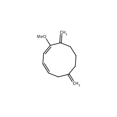 C=C1C/C=C\C=C(\OC)C(=C)CCC1